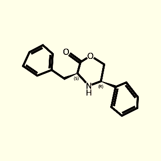 O=C1OC[C@@H](c2ccccc2)N[C@H]1Cc1ccccc1